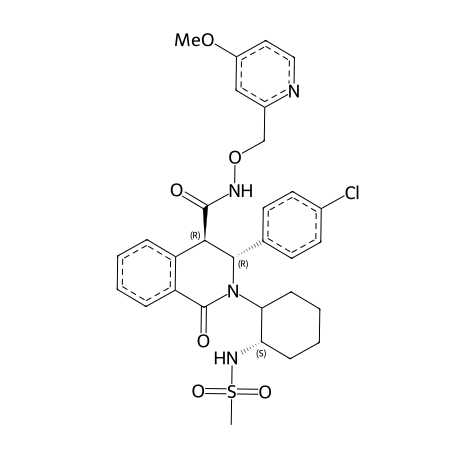 COc1ccnc(CONC(=O)[C@@H]2c3ccccc3C(=O)N(C3CCCC[C@@H]3NS(C)(=O)=O)[C@H]2c2ccc(Cl)cc2)c1